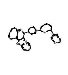 c1cncc(-c2cccc(-c3ccc(-c4nc5ccccc5c5nc6ccccn6c45)cc3)n2)c1